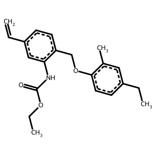 C=Cc1ccc(COc2ccc(CC)cc2C)c(NC(=O)OCC)c1